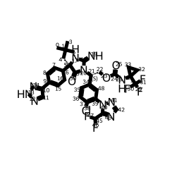 CC(C)(C)C[C@]1(C2C=CC(c3cn[nH]n3)=CC2)NC(=N)N([C@H](COC(=O)NC2(C(F)(F)F)CC2)c2ccc(Cl)c(-n3ncnc3C(F)F)c2)C1=O